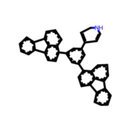 C1=CC(c2cc(-c3ccc4c5c(cccc35)-c3ccccc3-4)cc(-c3ccc4c5c(cccc35)-c3ccccc3-4)c2)=CCN1